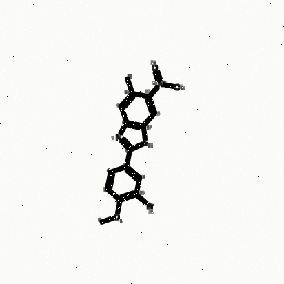 COc1ccc(-c2nc3cc(C)c([N+](=O)[O-])cc3s2)cc1Br